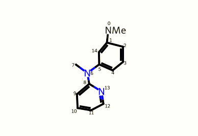 CNc1cccc(N(C)c2ccccn2)c1